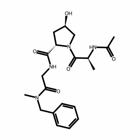 CC(=O)N[C@@H](C)C(=O)N1C[C@H](O)C[C@H]1C(=O)NCC(=O)N(C)Cc1ccccc1